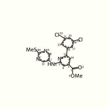 COC(=O)c1cc(Nc2cnc(SC)nc2)nc(-c2cc(Cl)cc(Cl)c2)c1